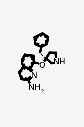 Nc1ccc2cccc(O[C@@]3(Cc4ccccc4)CCNC3)c2n1